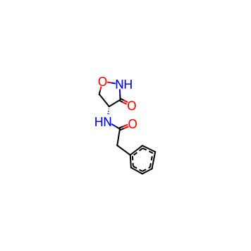 O=C(Cc1ccccc1)N[C@@H]1CONC1=O